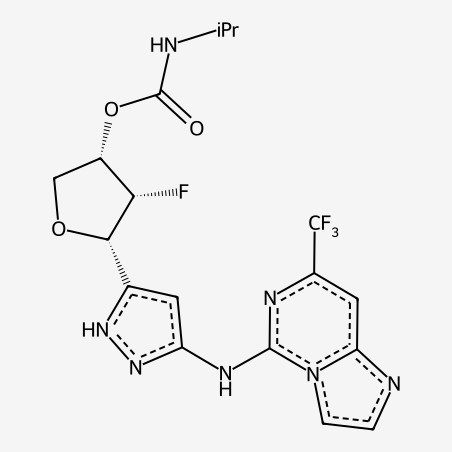 CC(C)NC(=O)O[C@H]1CO[C@@H](c2cc(Nc3nc(C(F)(F)F)cc4nccn34)n[nH]2)[C@H]1F